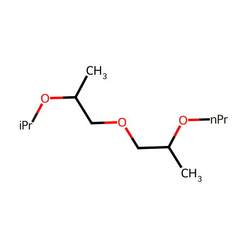 [CH2]C(C)OC(C)COCC(C)OCCC